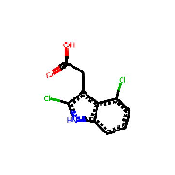 O=C(O)Cc1c(Cl)[nH]c2cccc(Cl)c12